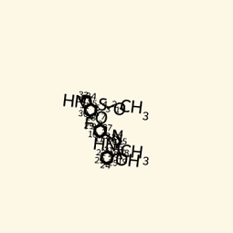 COCCSc1c(Oc2cccc(-c3ncc(C(C)(O)c4ccccc4)[nH]3)c2)c(F)cc2[nH]ccc12